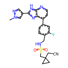 Cn1cc(-c2nc3c(-c4ccc(CNS(=O)(=O)CC5(CC#N)CC5)c(F)c4)ccnc3[nH]2)cn1